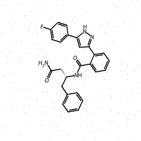 NC(=O)C[C@@H](Cc1ccccc1)NC(=O)c1ccccc1-c1cc(-c2ccc(F)cc2)[nH]n1